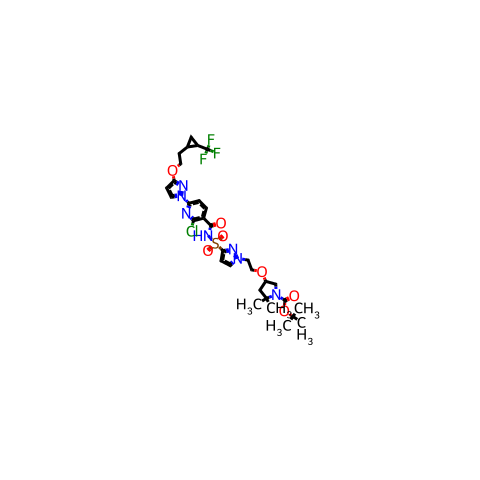 CC(C)(C)OC(=O)N1CC(OCCn2ccc(S(=O)(=O)NC(=O)c3ccc(-n4ccc(OCCC5CC5C(F)(F)F)n4)nc3Cl)n2)CC1(C)C